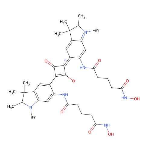 CC(C)N1c2cc(NC(=O)CCCC(=O)NO)c(C3=C([O-])/C(=c4/cc5c(cc4NC(=O)CCCC(=O)NO)=[N+](C(C)C)C(C)C5(C)C)C3=O)cc2C(C)(C)C1C